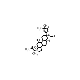 CC[C@@H](C)[C@H]1CCC2C3CC[C@@H]4C[C@@](OC=O)(C5=NC(C)(C)CO5)CC[C@]4(C)C3CC[C@@]21C